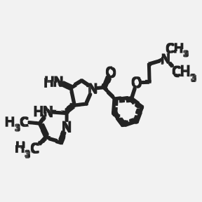 CC1=C(C)N/C(=C2/CN(C(=O)c3ccccc3OCCN(C)C)CC2=N)N=C1